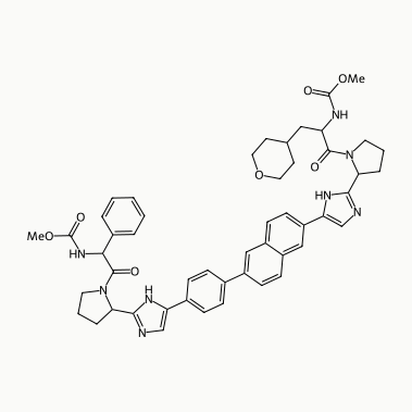 COC(=O)NC(CC1CCOCC1)C(=O)N1CCCC1c1ncc(-c2ccc3cc(-c4ccc(-c5cnc(C6CCCN6C(=O)C(NC(=O)OC)c6ccccc6)[nH]5)cc4)ccc3c2)[nH]1